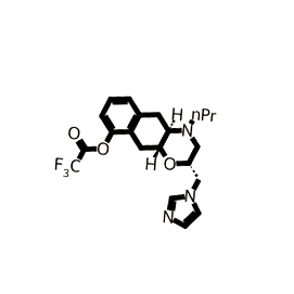 CCCN1C[C@H](Cn2ccnc2)O[C@@H]2Cc3c(cccc3OC(=O)C(F)(F)F)C[C@H]21